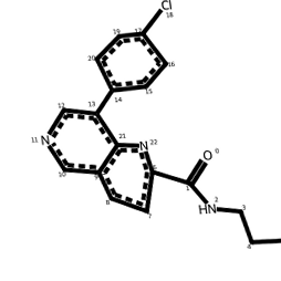 O=C(NCCC(F)(F)F)c1ccc2cncc(-c3ccc(Cl)cc3)c2n1